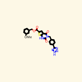 COc1cccc(COC(=O)c2cc3c(=O)n(Cc4ccc(-c5nn[nH]n5)cc4)c(=O)[nH]c3s2)c1